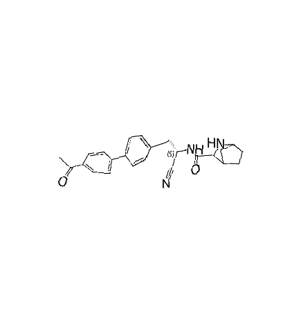 CC(=O)c1ccc(-c2ccc(C[C@@H](C#N)NC(=O)C3NC4CCC3C4)cc2)cc1